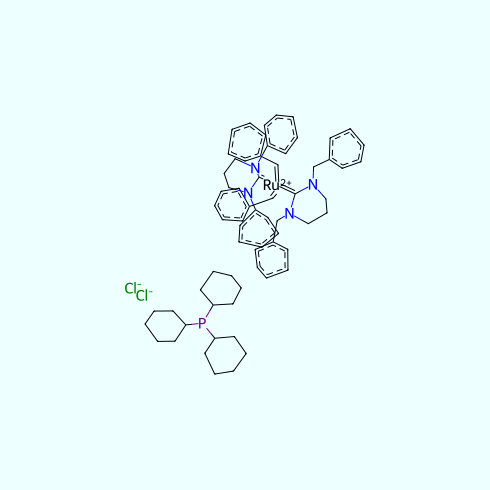 C1CCC(P(C2CCCCC2)C2CCCCC2)CC1.[CH](c1ccccc1)=[Ru+2](=[CH]c1ccccc1)(=[C]1N(Cc2ccccc2)CCCN1Cc1ccccc1)=[C]1N(c2ccccc2)CCCN1c1ccccc1.[Cl-].[Cl-]